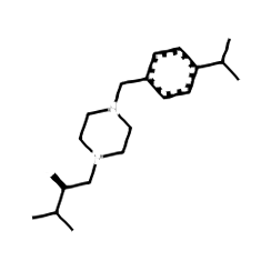 CC(C)C(=O)CN1CCN(Cc2ccc(C(C)C)cc2)CC1